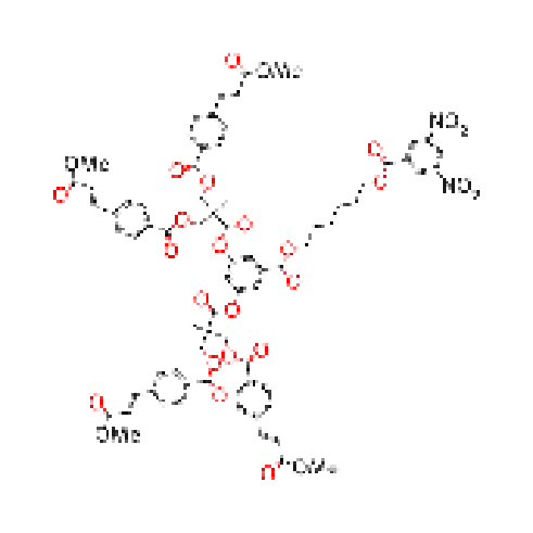 COC(=O)C=Cc1ccc(C(=O)OCC(C)(COC(=O)c2ccc(C=CC(=O)OC)cc2)C(=O)Oc2cc(OC(=O)C(C)(COC(=O)c3ccc(C=CC(=O)OC)cc3)COC(=O)c3ccc(C=CC(=O)OC)cc3)cc(C(=O)OCCCCCCOC(=O)c3cc([N+](=O)[O-])cc([N+](=O)[O-])c3)c2)cc1